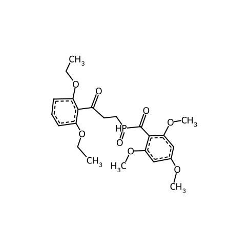 CCOc1cccc(OCC)c1C(=O)CC[PH](=O)C(=O)c1c(OC)cc(OC)cc1OC